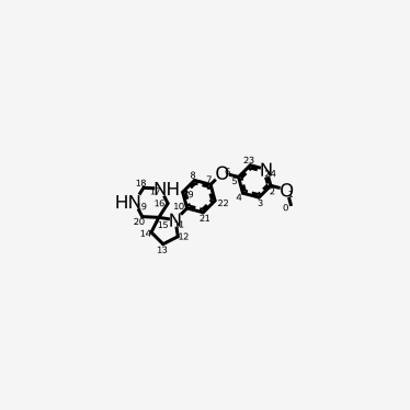 COc1ccc(Oc2ccc(N3CCCC34CNCNC4)cc2)cn1